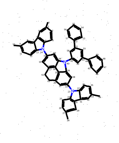 Cc1ccc2c(c1)c1cc(C)ccc1n2-c1cc2c3c4c(cc(-n5c6ccc(C)cc6c6cc(C)ccc65)cc4n(-c4cc(-c5ccccc5)cc(-c5ccccc5)c4)c3c1)CC2